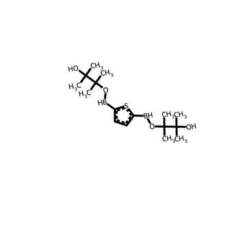 CC(C)(O)C(C)(C)OBc1ccc(BOC(C)(C)C(C)(C)O)s1